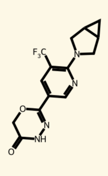 O=C1COC(c2cnc(N3CC4CC4C3)c(C(F)(F)F)c2)=NN1